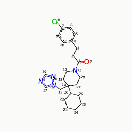 O=C(CCc1ccc(Cl)cc1)N1CCC(Cn2cncn2)(C2CCCCC2)CC1